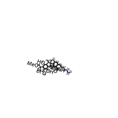 C=C1c2c(O)c(C(=O)COC)c(C(=O)CC)c(O)c2C(=O)C12CCc1cc3cc(/C=C/C=C/C)[nH]c(=O)c3c(O)c12